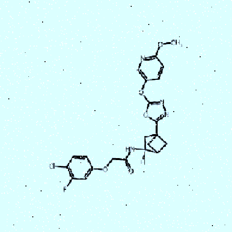 COc1ccc(Oc2nnc(C34CC(C3)[C@H](NC(=O)COc3ccc(Cl)c(F)c3)C4)o2)cn1